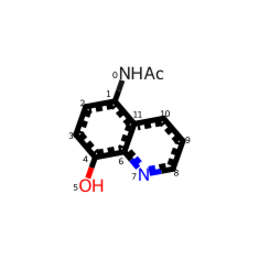 CC(=O)Nc1ccc(O)c2ncccc12